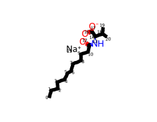 CCCCCCCCCCCC(=O)N[C@H](C(=O)[O-])C(C)C.[Na+]